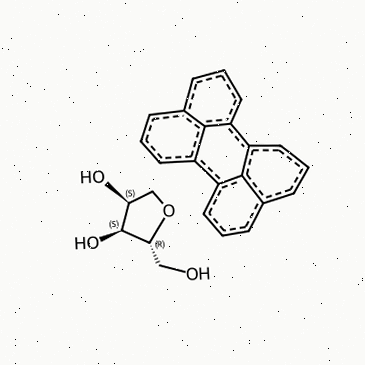 OC[C@H]1OC[C@H](O)[C@@H]1O.c1cc2cccc3c4cccc5cccc(c(c1)c23)c54